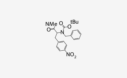 CNC(=O)C(Cc1ccc([N+](=O)[O-])cc1)N(Cc1ccccc1)C(=O)OC(C)(C)C